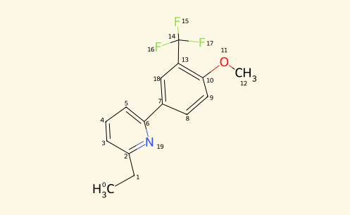 CCc1cccc(-c2ccc(OC)c(C(F)(F)F)c2)n1